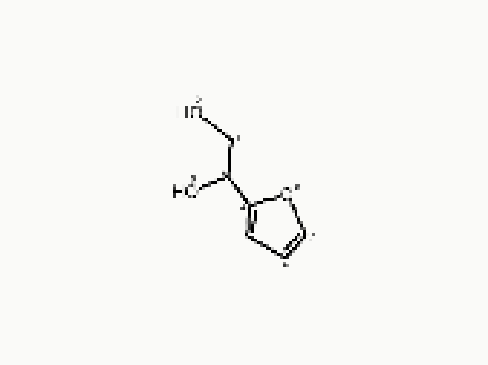 OCC(O)c1ccco1